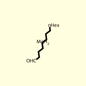 CCCCCCCCCCCCCC=O.[MgH2]